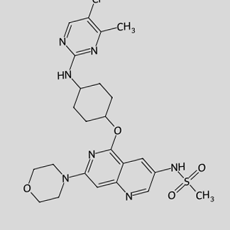 Cc1nc(NC2CCC(Oc3nc(N4CCOCC4)cc4ncc(NS(C)(=O)=O)cc34)CC2)ncc1Cl